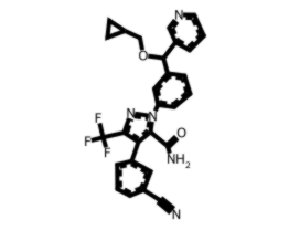 N#Cc1cccc(-c2c(C(F)(F)F)nn(-c3cccc(C(OCC4CC4)c4cccnc4)c3)c2C(N)=O)c1